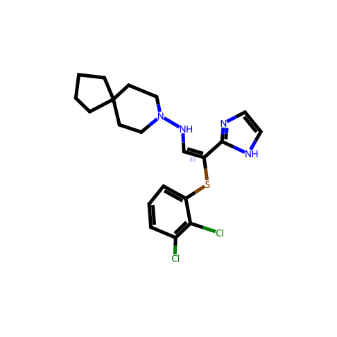 Clc1cccc(S/C(=C/NN2CCC3(CCCC3)CC2)c2ncc[nH]2)c1Cl